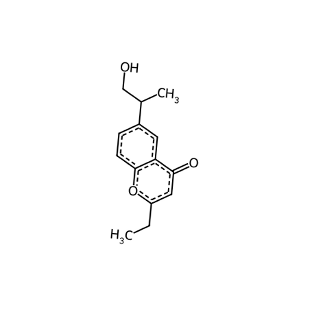 CCc1cc(=O)c2cc(C(C)CO)ccc2o1